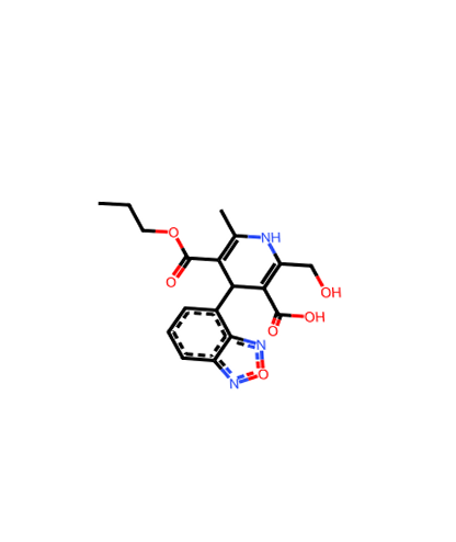 CCCOC(=O)C1=C(C)NC(CO)=C(C(=O)O)C1c1cccc2nonc12